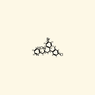 Cc1cc(Cl)ccc1C(CC(Cc1ccccn1)=NO)c1ccc(Br)cc1